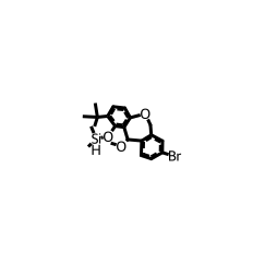 COC1c2ccc(Br)cc2COc2ccc(C(C)(C)C)c(O[SiH](C)C)c21